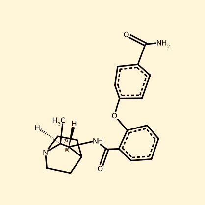 C[C@H]1[C@H](NC(=O)c2ccccc2Oc2ccc(C(N)=O)cc2)C2CCN1CC2